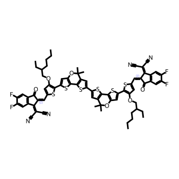 CCCCC(CC)COc1cc(/C=C2\C(=O)c3cc(F)c(F)cc3C2=C(C#N)C#N)sc1-c1cc2c(s1)-c1sc(-c3cc4c(s3)-c3sc(-c5sc(/C=C6\C(=O)c7cc(F)c(F)cc7C6=C(C#N)C#N)cc5OCC(CC)CCCC)cc3OC4(C)C)cc1C(C)(C)O2